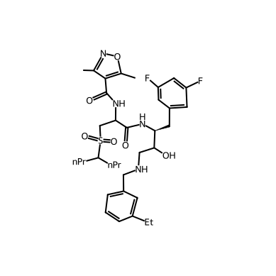 CCCC(CCC)S(=O)(=O)CC(NC(=O)c1c(C)noc1C)C(=O)N[C@@H](Cc1cc(F)cc(F)c1)C(O)CNCc1cccc(CC)c1